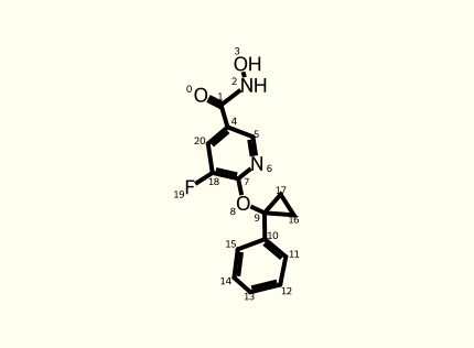 O=C(NO)c1cnc(OC2(c3ccccc3)CC2)c(F)c1